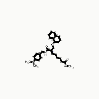 COC(=O)CCCC/C=C(\COc1cccc2ccccc12)C(=O)NCc1ccc(N(C)C)cc1